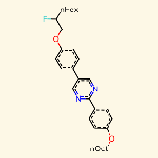 CCCCCCCCOc1ccc(-c2ncc(-c3ccc(OCC(F)CCCCCC)cc3)cn2)cc1